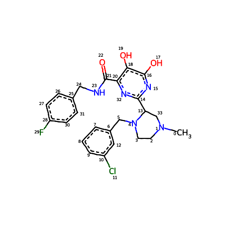 CN1CCN(Cc2cccc(Cl)c2)C(c2nc(O)c(O)c(C(=O)NCc3ccc(F)cc3)n2)C1